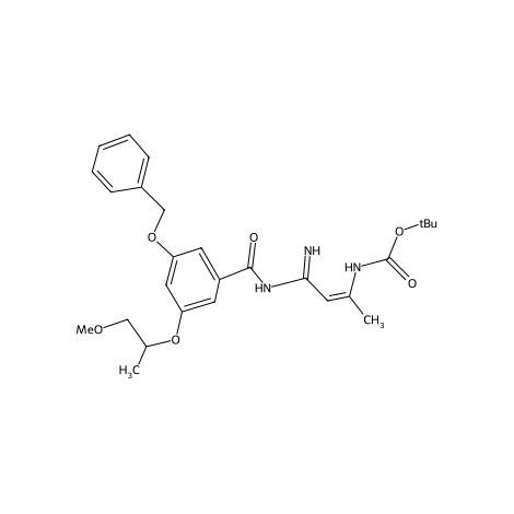 COCC(C)Oc1cc(OCc2ccccc2)cc(C(=O)NC(=N)/C=C(/C)NC(=O)OC(C)(C)C)c1